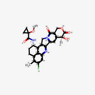 CCCOC1(C(=O)N[C@H]2CCc3c(C)c(F)cc4nc5c(c2c34)Cn2c-5cc3c(c2=O)COC(=O)[C@]3(O)CC)CC1